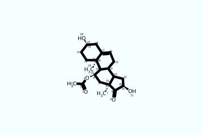 CC(=O)O[C@H]1C[C@]2(C)C(=O)[C@H](O)CC2C2CC=C3C[C@@H](O)CC[C@]3(C)C21